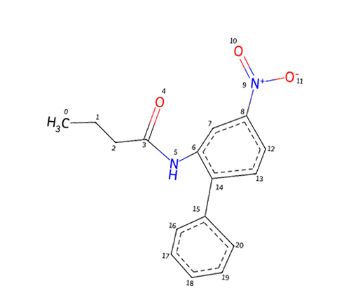 CCCC(=O)Nc1cc([N+](=O)[O-])ccc1-c1ccccc1